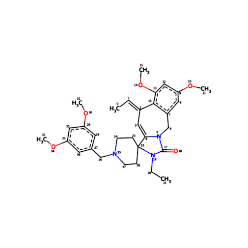 CC=C1C=C2N(Cc3cc(OC)cc(OC)c31)C(=O)N(CC)C21CCN(Cc2cc(OC)cc(OC)c2)CC1